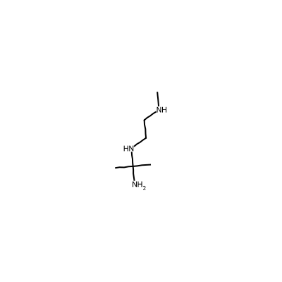 CNCCNC(C)(C)N